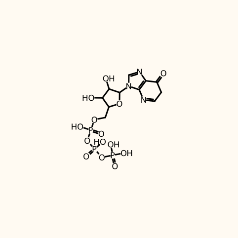 O=C1CC=Nc2c1ncn2C1OC(COP(=O)(O)OP(=O)(O)OP(=O)(O)O)C(O)C1O